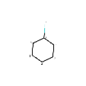 FC1CCCCC1